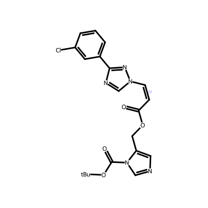 CC(C)(C)OC(=O)n1cncc1COC(=O)/C=C\n1cnc(-c2cccc(Cl)c2)n1